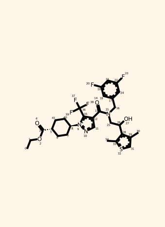 CCOC(=O)[C@H]1CC[C@H](n2ncc(C(=O)N(Cc3cc(F)cc(F)c3)CC(O)c3c(C)csc3C)c2C(F)(F)F)CC1